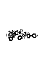 CN1CCC(C2CCN(C(=O)[C@H](CBr)N(C(=O)N3CCC(N)(N4Cc5ccccc5NS4(=O)=O)C(Br)C3)c3ccccc3)CC2)CC1